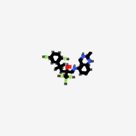 Cc1ncc2c(N=CC(O)(CC(C)(C)c3cc(F)ccc3F)C(F)(F)F)cccc2n1